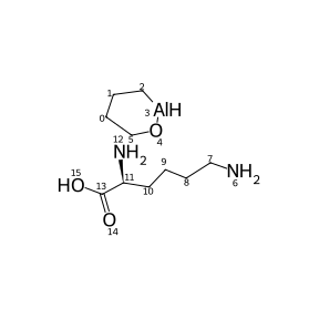 C1C[CH2][AlH][O]C1.NCCCC[C@H](N)C(=O)O